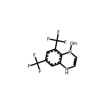 ON1C=CNc2cc(C(F)(F)F)cc(C(F)(F)F)c21